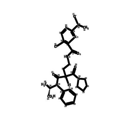 CCC(CCNC(=O)c1nc([S+](C)[O-])ncc1Cl)(C(=O)N1CCCC1)C(=O)N(c1ccccc1)[C@@H](C)C(=O)O